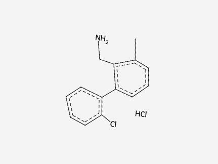 Cc1cccc(-c2ccccc2Cl)c1CN.Cl